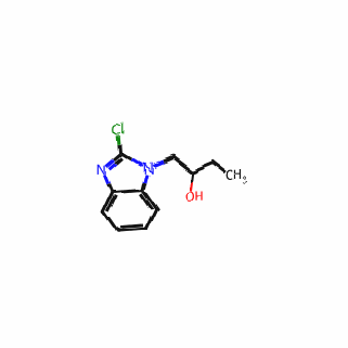 CCC(O)Cn1c(Cl)nc2ccccc21